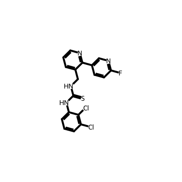 Fc1ccc(-c2ncccc2CNC(=S)Nc2cccc(Cl)c2Cl)cn1